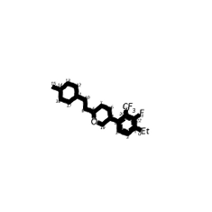 CCc1ccc(C2CCC(CCC3CCC(C)CC3)OC2)c(C(F)(F)F)c1F